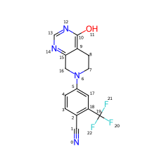 N#Cc1ccc(N2CCc3c(O)ncnc3C2)cc1C(F)(F)F